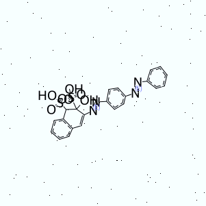 O=S(=O)(O)C1c2ccccc2C=C(/N=N/c2ccc(/N=N/c3ccccc3)cc2)C1(O)S(=O)(=O)O